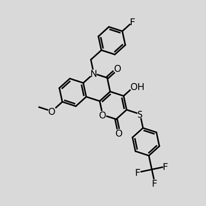 COc1ccc2c(c1)c1oc(=O)c(Sc3ccc(C(F)(F)F)cc3)c(O)c1c(=O)n2Cc1ccc(F)cc1